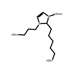 CCCCCCCCCCCCCCCC1N(CCCCC)C=CN1CCCCCCCCCCCCC